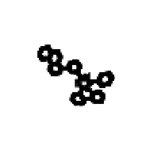 c1ccc(-c2nc(-c3cccc(-c4cccc5c4ccc4ccccc45)c3)nc(-c3ccccc3-c3ccccc3)n2)cc1